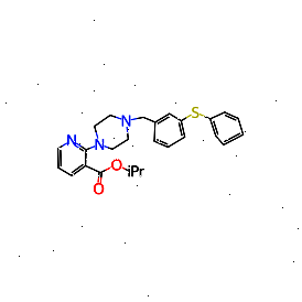 CC(C)OC(=O)c1cccnc1N1CCN(Cc2cccc(Sc3ccccc3)c2)CC1